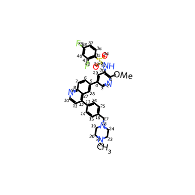 COc1ncc(-c2ccc3nccc(-c4ccc(CN5CCN(C)CC5)cc4)c3c2)cc1NS(=O)(=O)c1ccc(F)cc1F